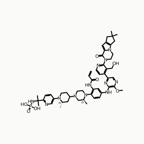 C=CC(=O)Nc1cc(Nc2nc(-c3ccnc(N4CCn5c(cc6c5CC(C)(C)C6)C4=O)c3CO)cnc2OC)ccc1N1CCN(C2CCN(c3ccc(C(C)(C)NP(=O)(O)O)nc3)[C@@H](C)C2)C[C@@H]1C